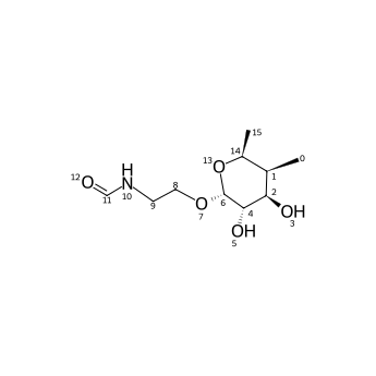 C[C@H]1[C@@H](O)[C@H](O)[C@H](OCCNC=O)O[C@H]1C